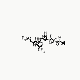 CC1(NC(=O)O[C@@H]2CO[C@H](c3cc(Nc4ncc(C(F)(F)F)c5nc(COC(F)(F)F)cn45)n[nH]3)[C@H]2F)CC1